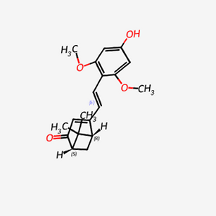 COc1cc(O)cc(OC)c1/C=C/C1=CC(=O)[C@H]2C[C@@H]1C2(C)C